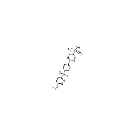 C[C@@](O)(c1cnc(-c2ccc(S(=O)(=O)c3ccc(N)nn3)cc2)nc1)C(F)(F)F